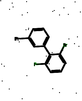 CC(C)c1cccc(-c2c(F)cccc2Br)c1